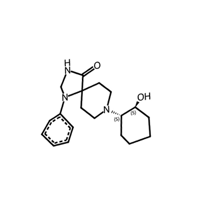 O=C1NCN(c2ccccc2)C12CCN([C@H]1CCCC[C@@H]1O)CC2